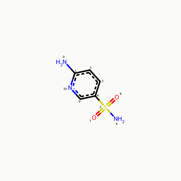 Nc1ccc(S(N)(=O)=O)cn1